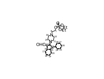 CCOP(=O)(OCC)OCCN1CCN(c2c(C=O)c3ccccc3n2-c2ccccc2)CC1